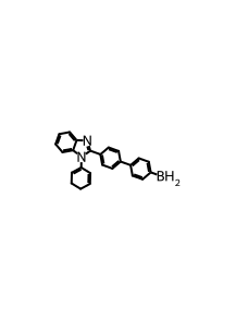 Bc1ccc(-c2ccc(-c3nc4ccccc4n3C3=CCCC=C3)cc2)cc1